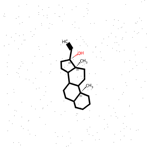 C#C[C@]1(O)CCC2C3CCC4CCCC[C@]4(C)C3CC[C@@]21C